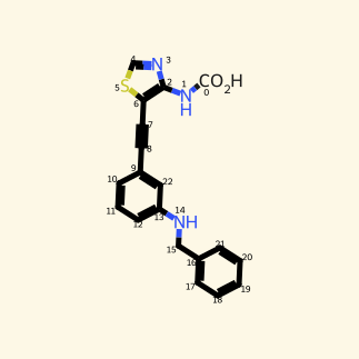 O=C(O)Nc1ncsc1C#Cc1cccc(NCc2ccccc2)c1